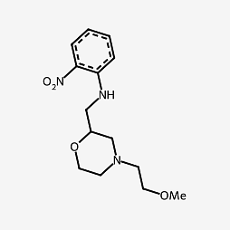 COCCN1CCOC(CNc2ccccc2[N+](=O)[O-])C1